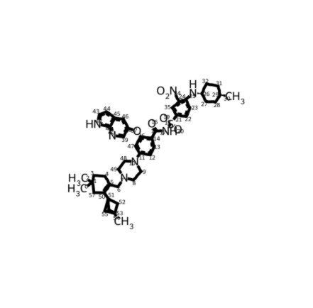 CC1(C)CCC(CN2CCN(c3ccc(C(=O)NS(=O)(=O)c4ccc(N[C@H]5CC[C@H](C)CC5)c([N+](=O)[O-])c4)c(Oc4cnc5[nH]ccc5c4)c3)CC2)=C(C23CC(C)(C2)C3)C1